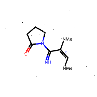 CN/C=C(/NC)C(=N)N1CCCC1=O